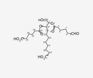 CCCCCCCCC(OC(=O)CCCCC=O)C(CCCCCCCC(=O)O)OC(=O)CCCCC(=O)O